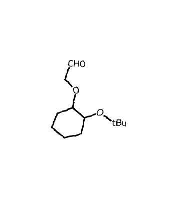 CC(C)(C)OC1CCCCC1OCC=O